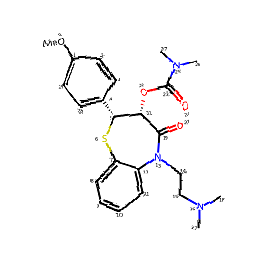 COc1ccc([C@H]2Sc3ccccc3N(CCN(C)C)C(=O)[C@H]2OC(=O)N(C)C)cc1